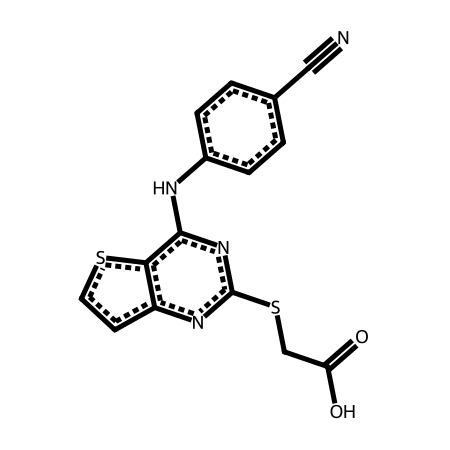 N#Cc1ccc(Nc2nc(SCC(=O)O)nc3ccsc23)cc1